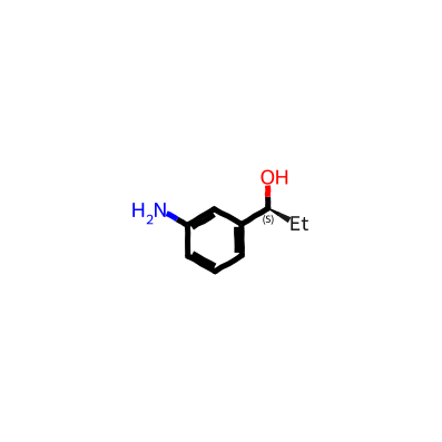 CC[C@H](O)c1cccc(N)c1